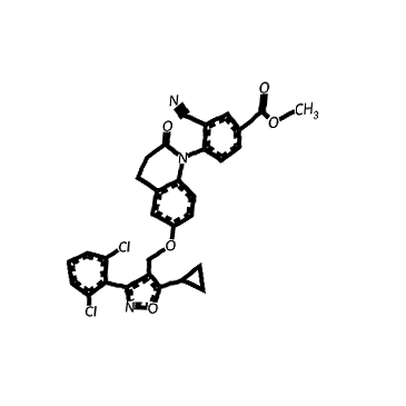 COC(=O)c1ccc(N2C(=O)CCc3cc(OCc4c(-c5c(Cl)cccc5Cl)noc4C4CC4)ccc32)c(C#N)c1